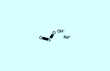 O=S=O.[Na+].[OH-]